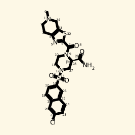 CN1CCc2nc(C(=O)N3CCN(S(=O)(=O)c4ccc5cc(Cl)ccc5c4)C[C@@H]3C(N)=O)sc2C1